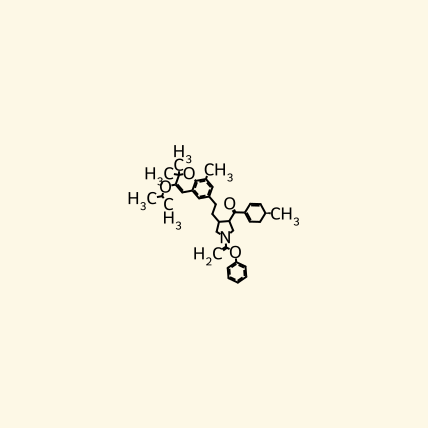 C=C(Oc1ccccc1)N1CC(CCc2cc(C)c3c(c2)C=C(OC(C)C)C(C)(C)O3)C(C(=O)C2=CC[C@H](C)C=C2)C1